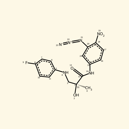 C[C@](O)(CNc1ccc(F)cc1)C(=O)Nc1ccc([N+](=O)[O-])c(N=[N+]=[N-])c1